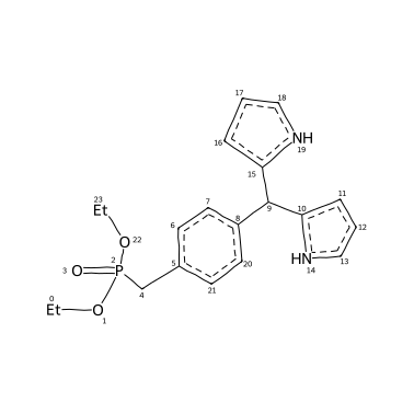 CCOP(=O)(Cc1ccc(C(c2ccc[nH]2)c2ccc[nH]2)cc1)OCC